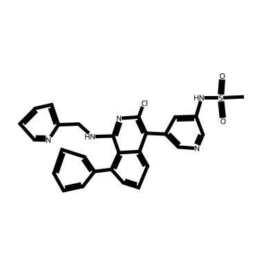 CS(=O)(=O)Nc1cncc(-c2c(Cl)nc(NCc3ccccn3)c3c(-c4ccccc4)cccc23)c1